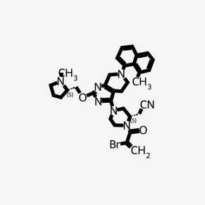 C=C(Br)C(=O)N1CCN(c2nc(OC[C@@H]3CCCN3C)nc3c2CCN(c2cccc4cccc(C)c24)C3)C[C@@H]1CC#N